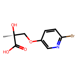 C[C@](O)(COc1ccc(Br)nc1)C(=O)O